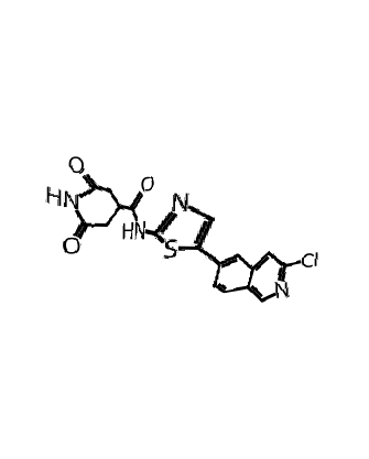 O=C1CC(C(=O)Nc2ncc(-c3ccc4cnc(Cl)cc4c3)s2)CC(=O)N1